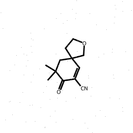 CC1(C)CC2(C=C(C#N)C1=O)CCOC2